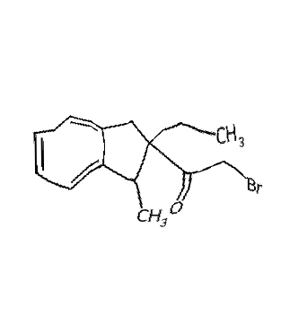 CCC1(C(=O)CBr)Cc2ccccc2C1C